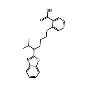 CC(C)N(CCCSc1ccccc1C(=O)O)c1nc2ccccc2o1